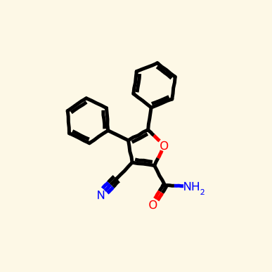 N#Cc1c(C(N)=O)oc(-c2ccccc2)c1-c1ccccc1